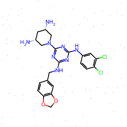 N[C@@H]1C[C@H](N)CN(c2nc(NCc3ccc4c(c3)OCO4)nc(Nc3ccc(Cl)c(Cl)c3)n2)C1